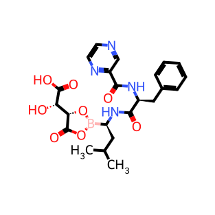 CC(C)C[C@H](NC(=O)[C@H](Cc1ccccc1)NC(=O)c1cnccn1)B1OC(=O)[C@H]([C@H](O)C(=O)O)O1